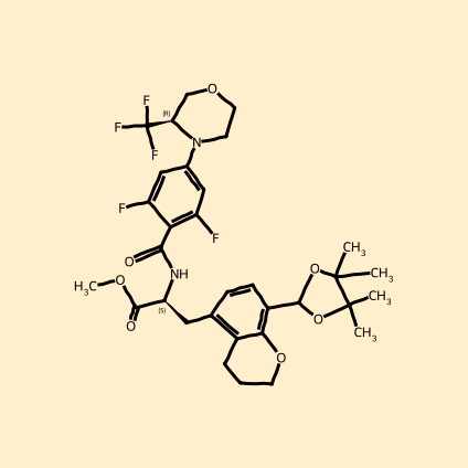 COC(=O)[C@H](Cc1ccc(C2OC(C)(C)C(C)(C)O2)c2c1CCCO2)NC(=O)c1c(F)cc(N2CCOC[C@@H]2C(F)(F)F)cc1F